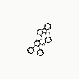 c1ccc(Oc2c(Cc3cccc4c3[nH]c3ccccc34)ccc(-c3ccccc3)c2-c2ccccc2)cc1